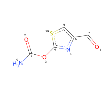 NC(=O)Oc1nc(C=O)cs1